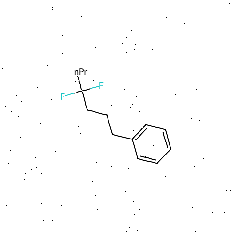 [CH2]CCC(F)(F)CCCc1ccccc1